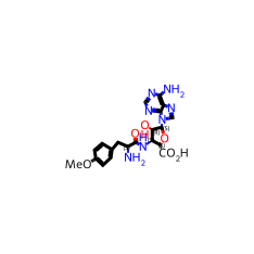 COc1ccc(C[C@H](N)C(=O)N[C@H]2[C@@H](O)[C@@H](n3cnc4c(N)ncnc43)O[C@@H]2C(=O)O)cc1